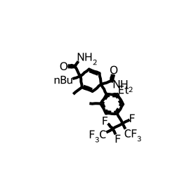 CCCCC1(C(N)=O)C=CC(C(N)=O)(c2c(C)cc(C(F)(C(F)(F)F)C(F)(F)C(F)(F)F)cc2CC)C=C1C